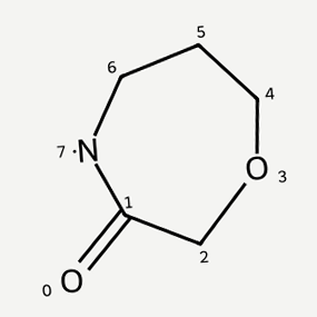 O=C1COCCC[N]1